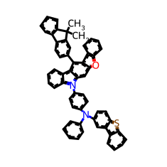 CC1(C)c2ccccc2-c2ccc(-c3c4c(cc5c3c3ccccc3n5-c3ccc(N(c5ccccc5)c5ccc6sc7ccccc7c6c5)cc3)oc3ccccc34)cc21